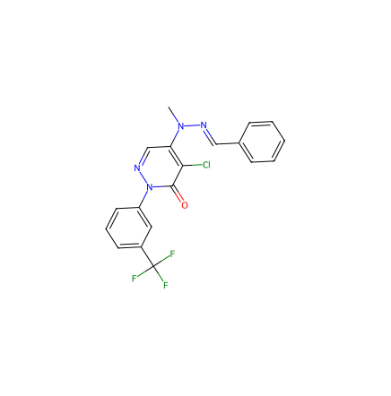 CN(/N=C/c1ccccc1)c1cnn(-c2cccc(C(F)(F)F)c2)c(=O)c1Cl